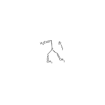 C=CP(C=C)C=C.CCI